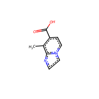 Cc1c(C(=O)O)ccn2ccnc12